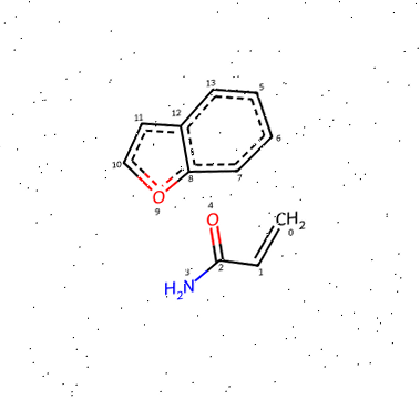 C=CC(N)=O.c1ccc2occc2c1